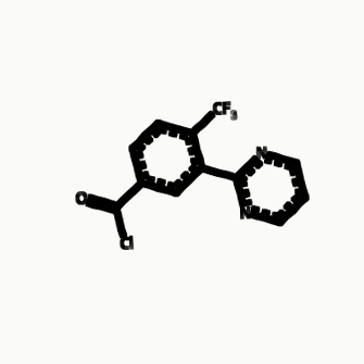 O=C(Cl)c1ccc(C(F)(F)F)c(-c2ncccn2)c1